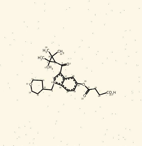 CC1(C)C(C(=O)c2cn(CC3CCOCC3)c3ccc(OC(=O)CCC(=O)O)cc23)C1(C)C